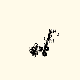 NCCOCCC(=O)NCCOc1cccc([C@@H](c2ccccc2)C2CCN(C(=O)N3CC[C@@H]4OCC(=O)N[C@@H]4C3)CC2)c1